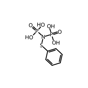 O=P(O)(O)N(Sc1ccccc1)P(=O)(O)O